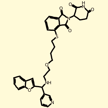 O=C1CCC(N2C(=O)c3cccc(SCCCCOCCNC(c4cccnc4)c4cc5ccccc5o4)c3C2=O)C(=O)N1